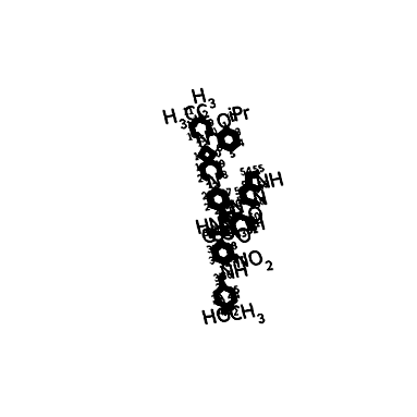 CC(C)Oc1ccccc1[C@@H]1CC(C)(C)CCN1C1CC2(CCN(c3ccc(C(=O)NS(=O)(=O)c4ccc(NCC5CCC(C)(O)CC5)c([N+](=O)[O-])c4)c(N4c5cc6cc[nH]c6nc5O[C@H]5COCC[C@@H]54)c3)CC2)C1